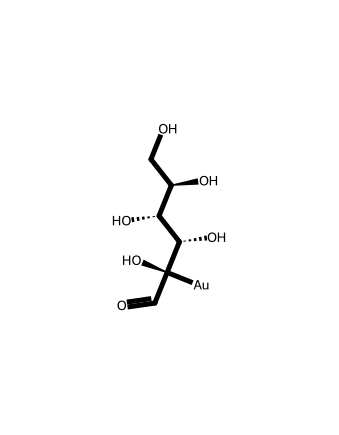 O=C[C@@](O)([Au])[C@@H](O)[C@H](O)[C@H](O)CO